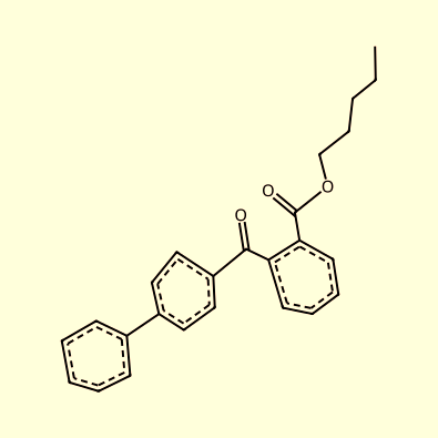 CCCCCOC(=O)c1ccccc1C(=O)c1ccc(-c2ccccc2)cc1